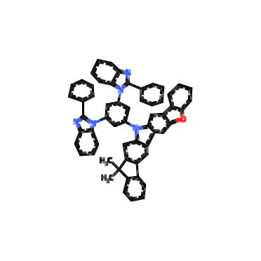 CC1(C)c2ccccc2-c2cc3c4cc5oc6ccccc6c5cc4n(-c4cc(-n5c(-c6ccccc6)nc6ccccc65)cc(-n5c(-c6ccccc6)nc6ccccc65)c4)c3cc21